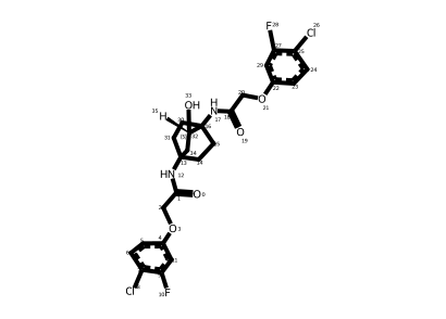 O=C(COc1ccc(Cl)c(F)c1)NC12CCC(NC(=O)COc3ccc(Cl)c(F)c3)(CC1)[C@@H](O)C2